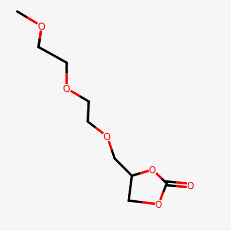 COCCOCCOCC1COC(=O)O1